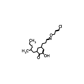 CCSC(C)CC1CC(CCC=NOC/C=C/Cl)C=C(O)C1=O